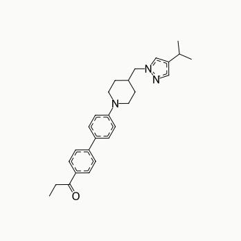 CCC(=O)c1ccc(-c2ccc(N3CCC(Cn4cc(C(C)C)cn4)CC3)cc2)cc1